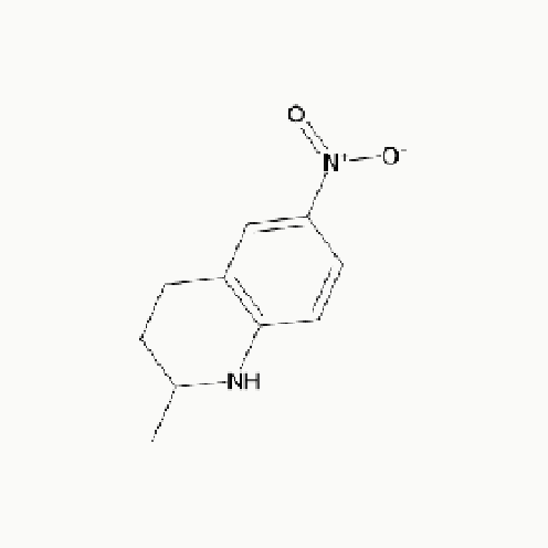 CC1CCc2cc([N+](=O)[O-])ccc2N1